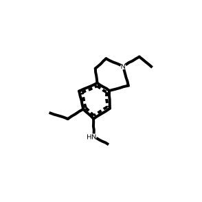 CCc1cc2c(cc1NC)CN(CC)CC2